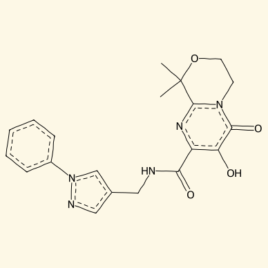 CC1(C)OCCn2c1nc(C(=O)NCc1cnn(-c3ccccc3)c1)c(O)c2=O